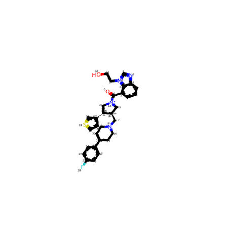 O=C(c1cccc2ncn(CCO)c12)[N+]1C[C@@H](CN2CCC(c3ccc(F)cc3)CC2)[C@H](c2ccsc2)C1